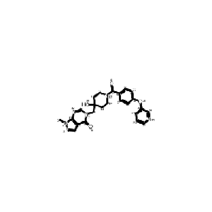 Cn1ncc2c(=O)n(CC3(O)CCN(C(=O)c4ccc(Oc5cccnc5)cc4)CC3)cnc21